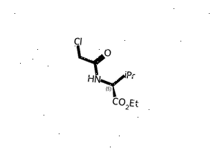 CCOC(=O)[C@@H](NC(=O)CCl)C(C)C